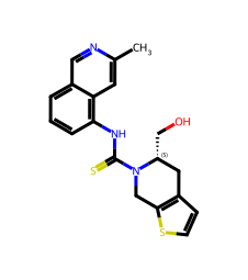 Cc1cc2c(NC(=S)N3Cc4sccc4C[C@H]3CO)cccc2cn1